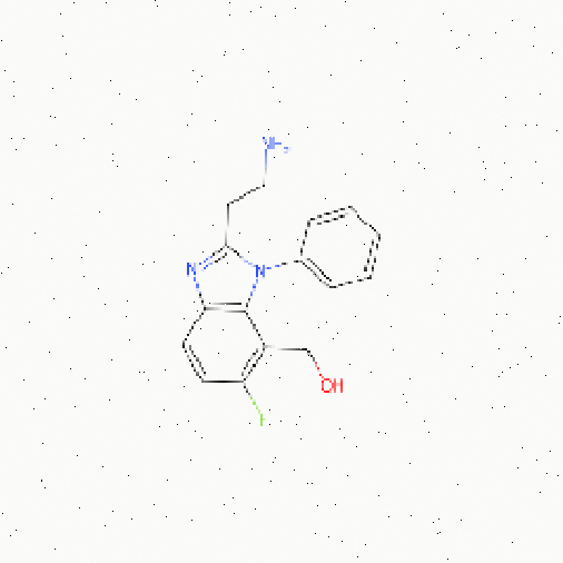 NCCc1nc2ccc(F)c(CO)c2n1-c1ccccc1